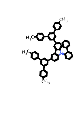 Cc1ccc(-c2cc(-c3ccc(C)cc3)cc(-c3ccc4c(c3)c3cc(-c5cc(-c6ccc(C)cc6)cc(-c6ccc(C)cc6)c5)ccc3n4-c3ccccc3-c3ccccc3)c2)cc1